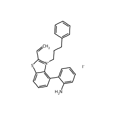 C=Cc1sc2cccc(-c3ccccc3N)c2[n+]1CCCc1ccccc1.[I-]